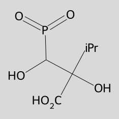 CC(C)C(O)(C(=O)O)C(O)P(=O)=O